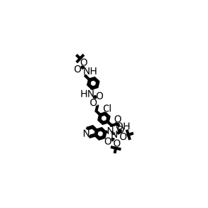 CC(C)(C)OC(=O)NCc1cccc(NC(=O)OCCc2ccc(C(C(=O)O)N(c3ccc4cnccc4c3)N(C(=O)OC(C)(C)C)C(=O)OC(C)(C)C)cc2Cl)c1